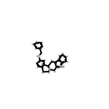 c1ccc(COc2ccc3c(c2)C2Cc4c([nH]c5ccccc45)CN2CC3)cc1